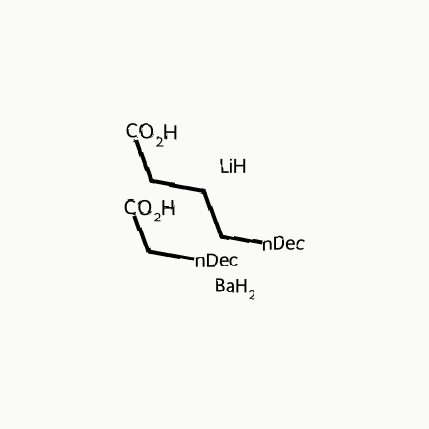 CCCCCCCCCCCC(=O)O.CCCCCCCCCCCCCC(=O)O.[BaH2].[LiH]